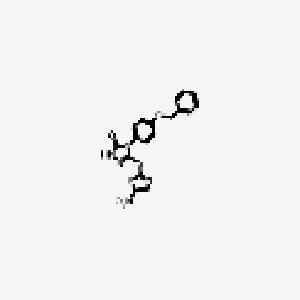 O=c1[nH]nc(Sc2ncc([N+](=O)[O-])s2)n1-c1ccc(OCc2ccccc2)cc1